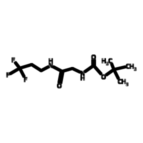 CC(C)(C)OC(=O)NCC(=O)NCCC(F)(F)F